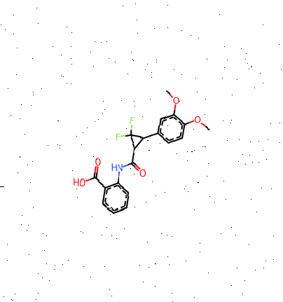 COc1ccc(C2C(C(=O)Nc3ccccc3C(=O)O)C2(F)F)cc1OC